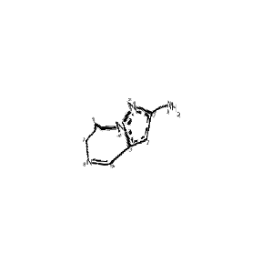 Nc1cc2n(n1)CCN=C2